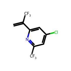 C=C(c1cc(Cl)cc(C(F)(F)F)n1)C(F)(F)F